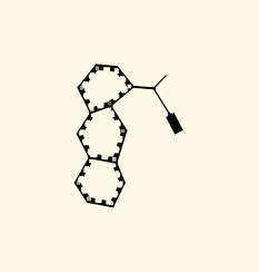 [C]#CC(CC)c1cccc2cc3ccccc3cc12